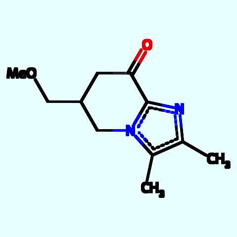 COCC1CC(=O)c2nc(C)c(C)n2C1